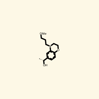 COCCCN1CCOc2ccc([C@@H](C)O)cc21